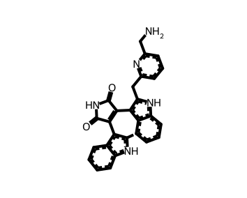 Cc1[nH]c2ccccc2c1C1=C(c2c(Cc3cccc(CN)n3)[nH]c3ccccc23)C(=O)NC1=O